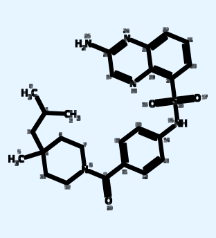 CC(C)CC1(C)CCN(C(=O)c2ccc(NS(=O)(=O)c3cccc4nc(N)cnc34)cc2)CC1